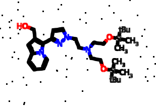 CC(C)(C)[Si](C)(C)OCCN(CCO[Si](C)(C)C(C)(C)C)CCn1ccc(-c2c(CO)cc3ccccn23)n1